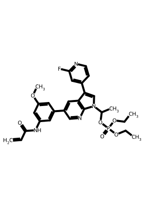 C=CC(=O)Nc1cc(OC)cc(-c2cnc3c(c2)c(-c2ccnc(F)c2)cn3C(C)OP(=O)(OCC)OCC)c1